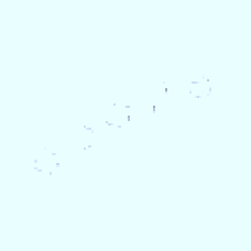 N[C@@H](Cc1c[nH]cn1)C(=O)Cc1ccc(C2=CCC(c3ccccc3)C=C2)cc1